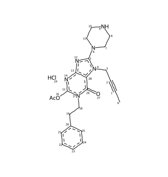 CC#CCn1c(N2CCNCC2)nc2nc(OC(C)=O)n(CCc3ccccc3)c(=O)c21.Cl